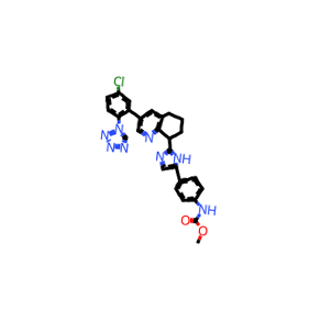 COC(=O)Nc1ccc(-c2cnc(C3CCCc4cc(-c5cc(Cl)ccc5-n5cnnn5)cnc43)[nH]2)cc1